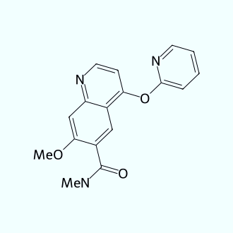 CNC(=O)c1cc2c(Oc3ccccn3)ccnc2cc1OC